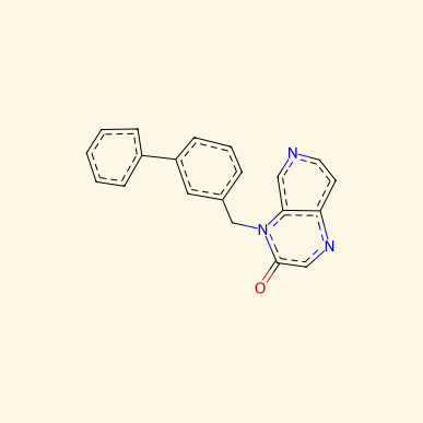 O=c1cnc2ccncc2n1Cc1cccc(-c2ccccc2)c1